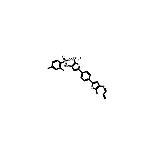 C=C/C=N\c1cc(-c2ccc(-c3cc(NP(=O)(OC)c4ccc(C)cc4C)c(C(=O)O)s3)cc2)oc1C